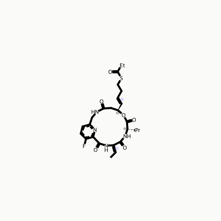 C/C=C1\NC(=O)c2nc(ccc2F)CNC(=O)C[C@@H](/C=C/CCSC(=O)CC)OC(=O)[C@H](C(C)C)NC1=O